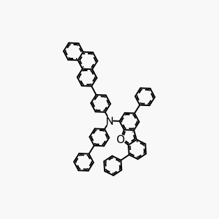 c1ccc(-c2ccc(N(c3ccc(-c4ccc5c(ccc6ccccc65)c4)cc3)c3cc(-c4ccccc4)cc4c3oc3c(-c5ccccc5)cccc34)cc2)cc1